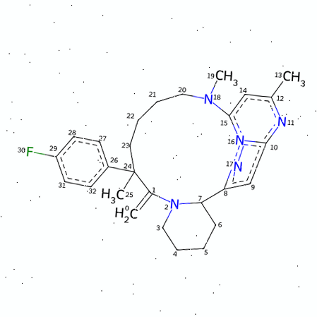 C=C1N2CCCCC2c2cc3nc(C)cc(n3n2)N(C)CCCCC1(C)c1ccc(F)cc1